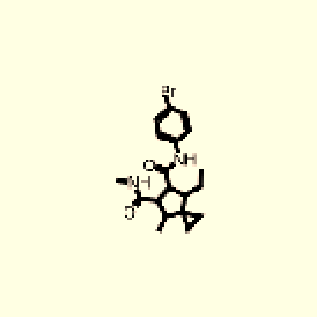 CCC1C(C(=O)Nc2ccc(Br)cc2)C(C(=O)NC)C(C)C12CC2